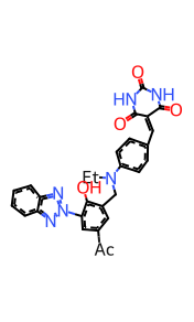 CCN(Cc1cc(C(C)=O)cc(-n2nc3ccccc3n2)c1O)c1ccc(C=C2C(=O)NC(=O)NC2=O)cc1